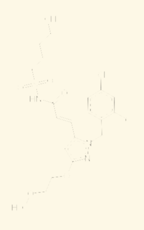 CCCCCS(=O)(=O)NC(=O)C=Cc1cc(OCCOC)nn1Cc1ccc(Cl)cc1Cl